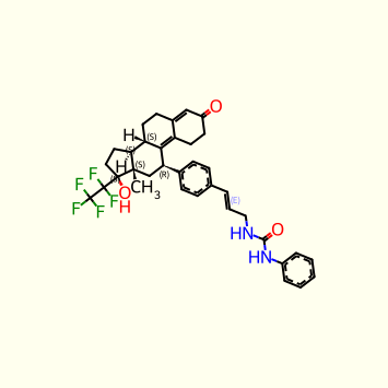 C[C@]12C[C@H](c3ccc(/C=C/CNC(=O)Nc4ccccc4)cc3)C3=C4CCC(=O)C=C4CC[C@H]3[C@@H]1CC[C@@]2(O)C(F)(F)C(F)(F)F